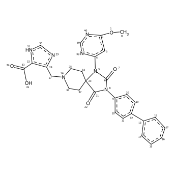 COc1cc(N2C(=O)N(c3ccc(-c4ccccc4)cc3)C(=O)C23CCN(Cc2nc[nH]c2C(=O)O)CC3)ncn1